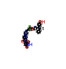 C=C(/C=C\C(=C)/C(=C(/CC)c1ccccc1)c1ccc(O)cc1)OCC(F)(F)CCCN1CCN(c2ccc3c(n2)CN(C2CCC(=O)NC2=O)C3=O)CC1